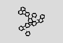 c1ccc(-n2c3ccccc3c3ccc(-c4ccc5c6ccc7ccccc7c6n(-c6ccccc6-c6ccccc6-c6ccc7c(c6)-c6cccc8cccc-7c68)c5c4)cc32)cc1